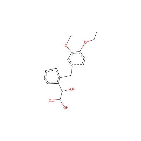 CCOc1ccc(Cc2ccccc2C(O)C(=O)O)cc1OC